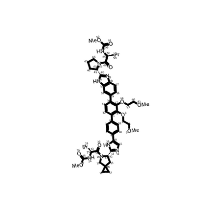 COCCOc1c(-c2ccc(-c3cnc([C@@H]4CC5(CC5)CN4C(=O)[C@@H](NC(=O)OC)C(C)C)[nH]3)cc2)ccc(-c2ccc3nc([C@@H]4CCCN4C(=O)[C@@H](NC(=O)OC)C(C)C)[nH]c3c2)c1OCCOC